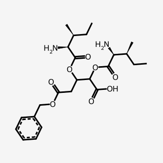 CC[C@H](C)[C@H](N)C(=O)OC(CC(=O)OCc1ccccc1)C(OC(=O)[C@@H](N)[C@@H](C)CC)C(=O)O